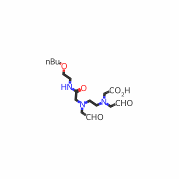 CCCCOCCNC(=O)CN(CC=O)CCN(CC=O)CC(=O)O